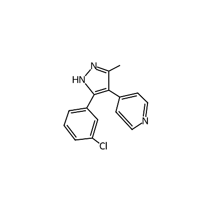 Cc1n[nH]c(-c2cccc(Cl)c2)c1-c1ccncc1